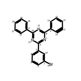 Brc1cccc(-c2nc(-c3c#cccc3)nc(-c3ccccc3)n2)c1